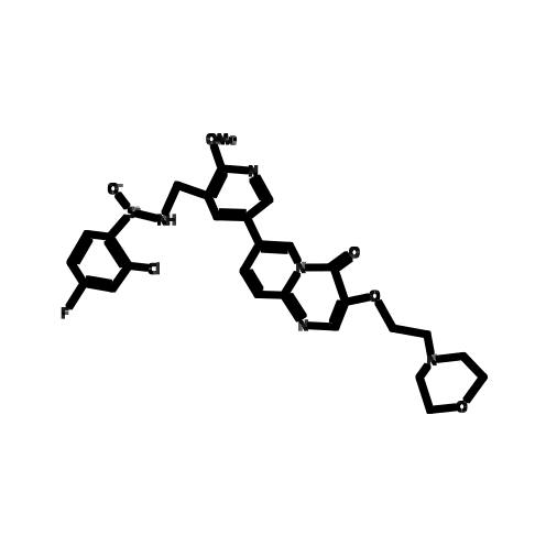 COc1ncc(-c2ccc3ncc(OCCN4CCOCC4)c(=O)n3c2)cc1CN[S+]([O-])c1ccc(F)cc1Cl